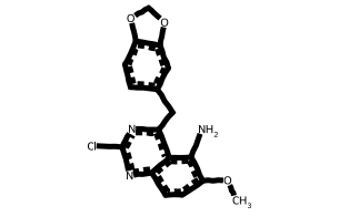 COc1ccc2nc(Cl)nc(Cc3ccc4c(c3)OCO4)c2c1N